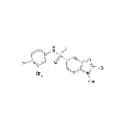 Cn1c(=O)oc2cc(S(=O)(=O)Nc3ccc(F)c(C(F)(F)F)c3)ccc21